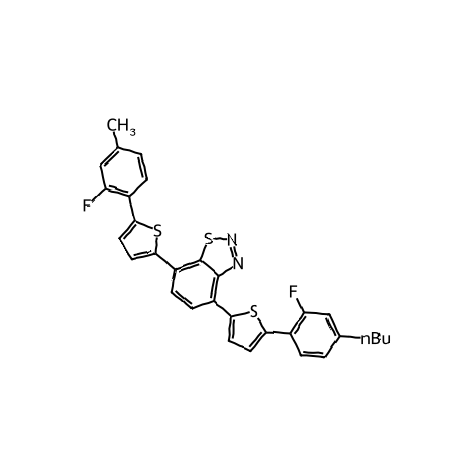 CCCCc1ccc(-c2ccc(-c3ccc(-c4ccc(-c5ccc(C)cc5F)s4)c4snnc34)s2)c(F)c1